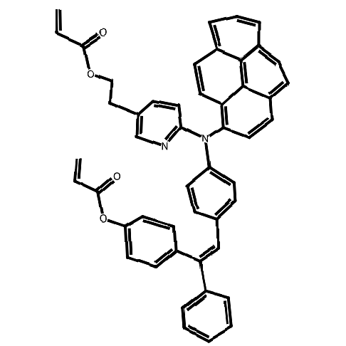 C=CC(=O)OCCc1ccc(N(c2ccc(C=C(c3ccccc3)c3ccc(OC(=O)C=C)cc3)cc2)c2ccc3ccc4cccc5ccc2c3c45)nc1